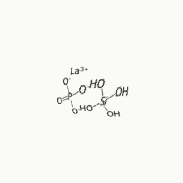 O=P([O-])([O-])[O-].O[Si](O)(O)O.[La+3]